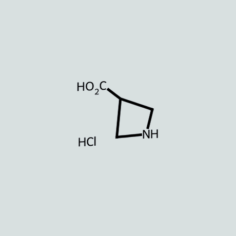 Cl.O=C(O)C1CNC1